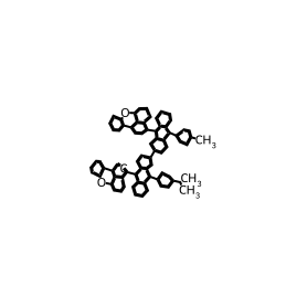 Cc1ccc(-c2c3ccccc3c(-c3ccc4c5c(cccc35)Oc3ccccc3-4)c3cc(-c4ccc5c(-c6ccc7c8c(cccc68)Oc6ccccc6-7)c6ccccc6c(-c6ccc(C(C)C)cc6)c5c4)ccc23)cc1